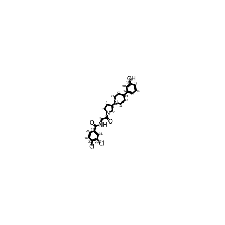 O=C(NCC(=O)N1CCC(N2CCC(c3cccc(O)c3)CC2)C1)c1ccc(Cl)c(Cl)c1